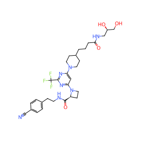 N#Cc1ccc(CCNC(=O)[C@@H]2CCN2c2cc(N3CCC(CCCC(=O)NC[C@@H](O)CO)CC3)nc(C(F)(F)F)n2)cc1